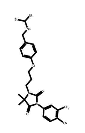 CCC(CC)NCc1ccc(OCCCN2C(=S)N(c3ccc(C#N)c(C(F)(F)F)c3)C(=O)C2(C)C)cc1